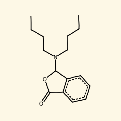 CCCCN(CCCC)C1OC(=O)c2ccccc21